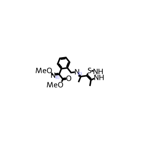 CO/N=C(/C(=O)OC)c1ccccc1C/N=C(\C)C1=C(C)NNS1